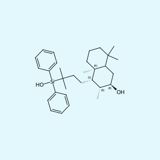 C[C@H]1[C@H](O)CC2C(C)(C)CCC[C@]2(C)[C@H]1CCC(C)(C)[Si](O)(c1ccccc1)c1ccccc1